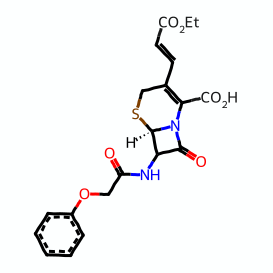 CCOC(=O)/C=C/C1=C(C(=O)O)N2C(=O)C(NC(=O)COc3ccccc3)[C@H]2SC1